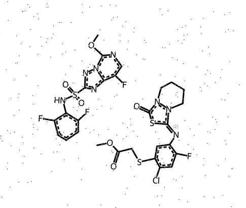 COC(=O)CSc1cc(/N=c2\sc(=O)n3n2CCCC3)c(F)cc1Cl.COc1ncc(F)c2nc(S(=O)(=O)Nc3c(F)cccc3F)nn12